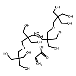 C=CC(=O)O.OCC(CO)(CO)COCC(CO)(CO)CO.OCC(CO)(CO)COCC(CO)(CO)CO